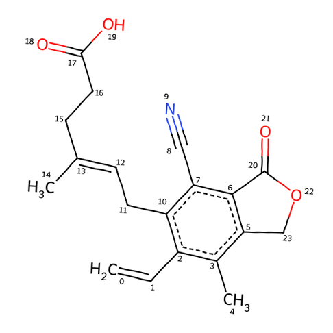 C=Cc1c(C)c2c(c(C#N)c1C/C=C(\C)CCC(=O)O)C(=O)OC2